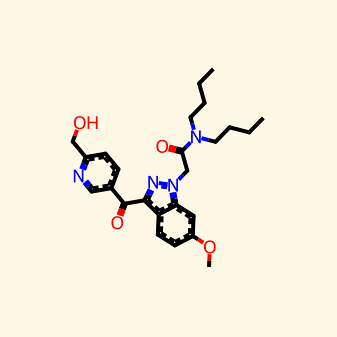 CCCCN(CCCC)C(=O)Cn1nc(C(=O)c2ccc(CO)nc2)c2ccc(OC)cc21